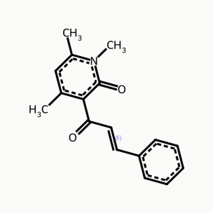 Cc1cc(C)n(C)c(=O)c1C(=O)/C=C/c1ccccc1